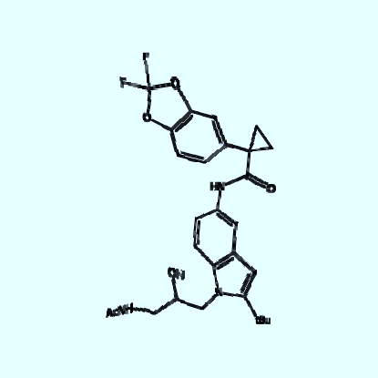 CC(=O)NCC(O)Cn1c(C(C)(C)C)cc2cc(NC(=O)C3(c4ccc5c(c4)OC(F)(F)O5)CC3)ccc21